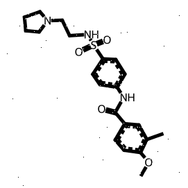 COc1ccc(C(=O)Nc2ccc(S(=O)(=O)NCCN3CCCC3)cc2)cc1C